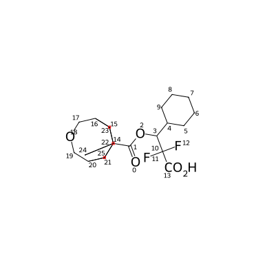 O=C(OC(C1CCCCC1)C(F)(F)C(=O)O)C12CC3COCC(CC(C3)C1)C2